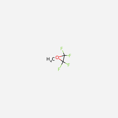 C.FC1(F)OC1(F)F